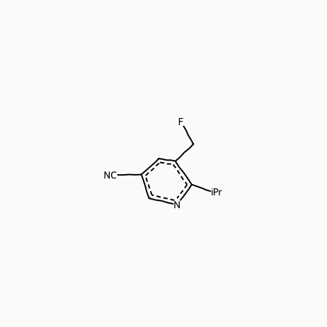 CC(C)c1ncc(C#N)cc1CF